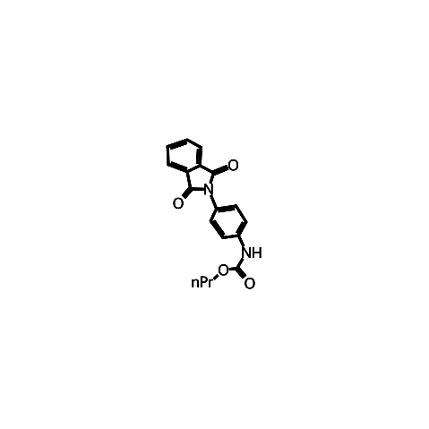 CCCOC(=O)Nc1ccc(N2C(=O)c3ccccc3C2=O)cc1